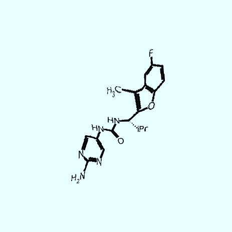 Cc1c([C@@H](NC(=O)Nc2cnc(N)nc2)C(C)C)oc2ccc(F)cc12